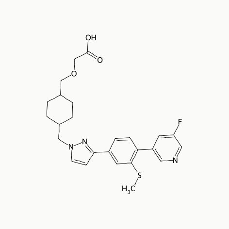 CSc1cc(-c2ccn(CC3CCC(COCC(=O)O)CC3)n2)ccc1-c1cncc(F)c1